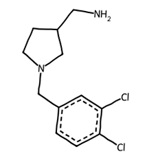 NCC1CCN(Cc2ccc(Cl)c(Cl)c2)C1